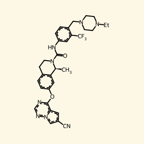 CCN1CCN(Cc2ccc(NC(=O)N3CCc4ccc(Oc5ncnn6cc(C#N)cc56)cc4[C@@H]3C)cc2C(F)(F)F)CC1